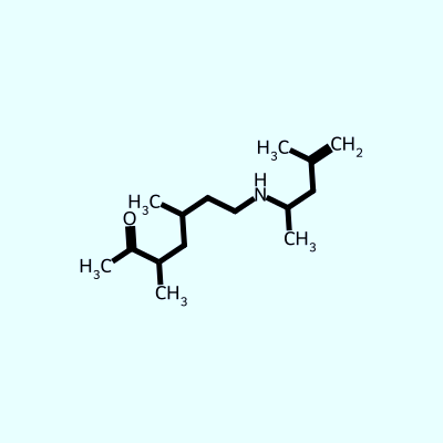 C=C(C)CC(C)NCCC(C)CC(C)C(C)=O